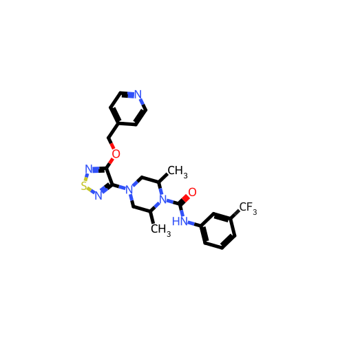 CC1CN(c2nsnc2OCc2ccncc2)CC(C)N1C(=O)Nc1cccc(C(F)(F)F)c1